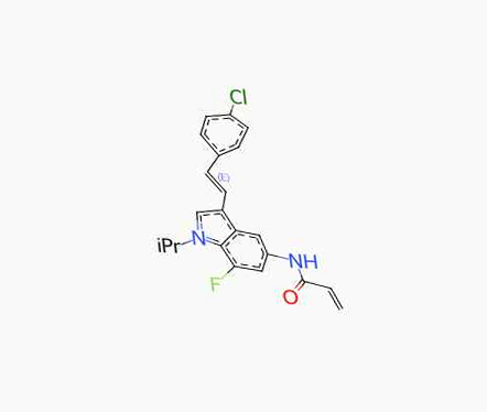 C=CC(=O)Nc1cc(F)c2c(c1)c(/C=C/c1ccc(Cl)cc1)cn2C(C)C